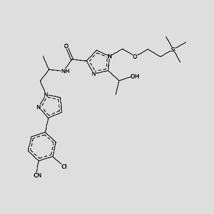 CC(Cn1ccc(-c2ccc(C#N)c(Cl)c2)n1)NC(=O)c1cn(COCC[Si](C)(C)C)c(C(C)O)n1